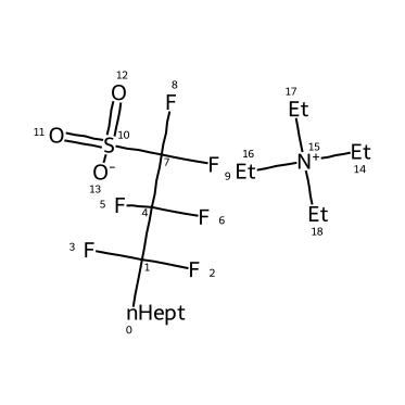 CCCCCCCC(F)(F)C(F)(F)C(F)(F)S(=O)(=O)[O-].CC[N+](CC)(CC)CC